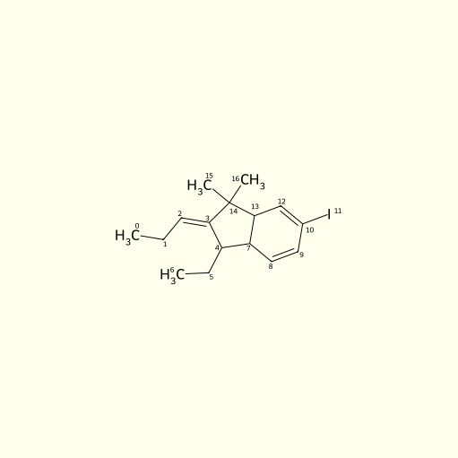 CC/C=C1\C(CC)C2C=CC(I)=CC2C1(C)C